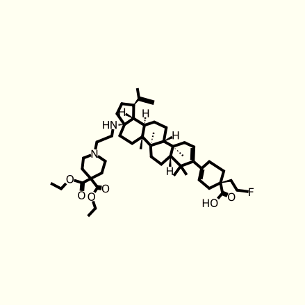 C=C(C)[C@@H]1CC[C@]2(NCCN3CCC(C(=O)OCC)(C(=O)OCC)CC3)CC[C@]3(C)[C@H](CC[C@@H]4[C@@]5(C)CC=C(C6=CC[C@@](CCF)(C(=O)O)CC6)C(C)(C)[C@@H]5CC[C@]43C)[C@@H]12